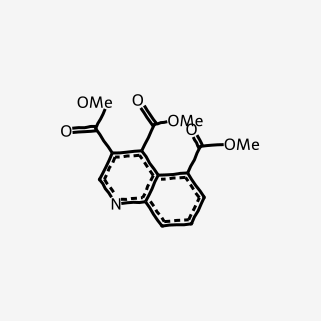 COC(=O)c1cnc2cccc(C(=O)OC)c2c1C(=O)OC